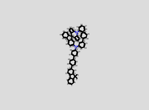 CC1(C)c2ccccc2-c2ccc(-c3ccc(-c4ccc(N(c5cccc(-c6ccccc6)c5)c5ccc6c(c5)C5(c7ccccc7-6)c6ccccc6N(c6ccccc6)c6ccccc65)cc4)cc3)cc21